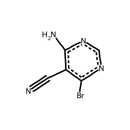 N#Cc1c(N)ncnc1Br